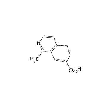 Cc1nccc2c1C=C(C(=O)O)CC2